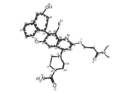 CN(C)C(=O)CCOc1nc(N2CCN(C(N)=O)CC2)c2cc(Cl)c(-c3cc(O)cc4ccccc34)c(F)c2n1